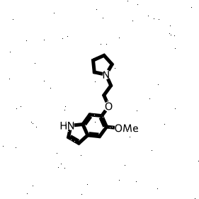 COc1cc2cc[nH]c2cc1OCCN1CCCC1